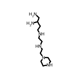 NCC(N)CCNCCNCCN1CCNCC1